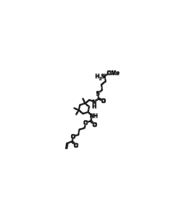 C=CC(=O)OCCCOC(=O)NC1CC(C)(C)CC(C)(CNC(=O)SCCC[SiH2]OC)C1